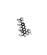 CCCC(Br)C(=O)Nc1ccc2c(c1O)C(=O)C1=C(O)[C@]3(O)C(=O)C(C(N)=O)=C(O)[C@@H](N(C)C)C3CC1C2